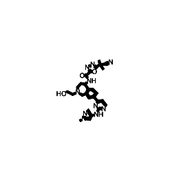 Cn1cc(Nc2nccc(-c3ccc4c(c3)CN(CCO)CCC4NC(=O)c3nnc(C(C)(C)C#N)o3)n2)cn1